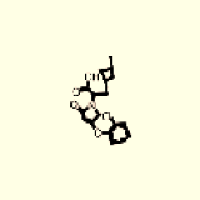 C[C@H]1C[C@@H](CC(C(=O)O)N2CC(Oc3ccccc3Cl)=CC2=O)C1